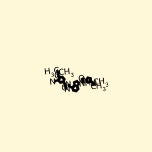 CC(C)Oc1ccc(-c2nc(-c3cccc4c3CCC4NC(=O)N3CCC(N(C)C)C3)no2)cc1C#N